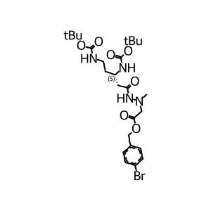 CN(CC(=O)OCc1ccc(Br)cc1)NC(=O)C[C@H](CCNC(=O)OC(C)(C)C)NC(=O)OC(C)(C)C